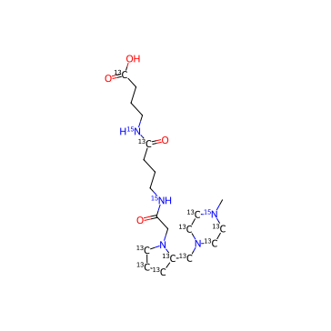 C[15N]1[13CH2][13CH2]N([13CH2][13CH]2[13CH2][13CH2][13CH2]N2CC(=O)[15NH]CCC[13C](=O)[15NH]CCC[13C](=O)O)[13CH2][13CH2]1